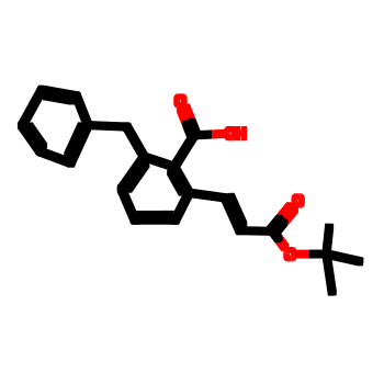 CC(C)(C)OC(=O)C=Cc1cccc(Cc2ccccc2)c1C(=O)O